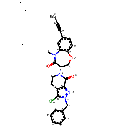 CN1C(=O)[C@@H](N2CCc3c(nn(Cc4ccccc4)c3Cl)C2=O)COc2ccc(C#CC(C)(C)C)cc21